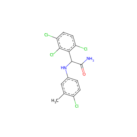 Cc1cc(NC(C(N)=O)c2c(Cl)ccc(Cl)c2Cl)ccc1Cl